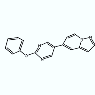 c1ccc(Oc2ncc(-c3ccn4nccc4c3)cn2)cc1